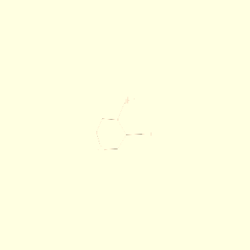 CCC1COCCC1C(C)C